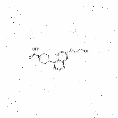 O=C(O)N1CCC(c2ncnc3cc(OCCO)ccc23)CC1